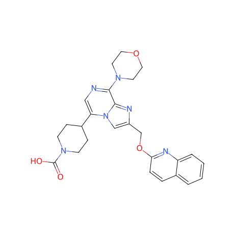 O=C(O)N1CCC(c2cnc(N3CCOCC3)c3nc(COc4ccc5ccccc5n4)cn23)CC1